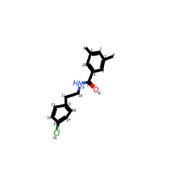 Cc1cc(C)cc(C(=O)NCCc2ccc(Cl)cc2)c1